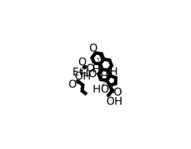 CCC(=O)OC1CC(=O)C=C2CC[C@@H]3[C@H]([C@@H](O)C[C@@]4(C)[C@H]3CC[C@]4(O)C(=O)CO)[C@]21C.CCCC(=O)O